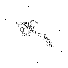 C/C=C1\S/C(=N\C(=S)N/N=C/c2ccc(-c3ncn(-c4ccc(OC(F)(F)F)cc4)n3)cc2)N(c2cc(C)ccc2C(C)C)C1=O